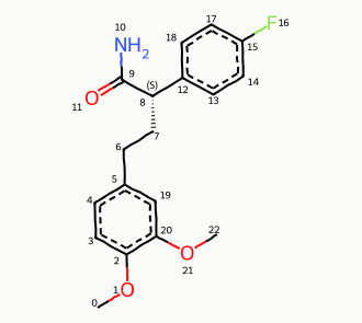 COc1ccc(CC[C@H](C(N)=O)c2ccc(F)cc2)cc1OC